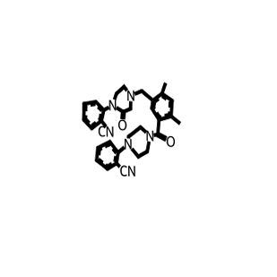 Cc1cc(C)c(C(=O)N2CCN(c3ccccc3C#N)CC2)cc1CN1CCN(c2ccccc2C#N)C(=O)C1